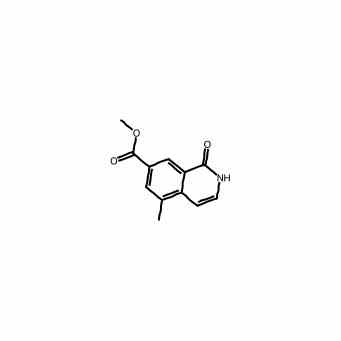 COC(=O)c1cc(C)c2cc[nH]c(=O)c2c1